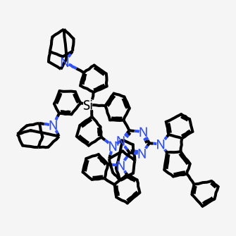 c1ccc(-c2ccc3c(c2)c2ccccc2n3-c2nc(-c3cccc([Si](c4cccc(N5C6CC7CC(C6)CC5C7)c4)(c4cccc(N5C6CC7CC(C6)CC5C7)c4)c4cccc(N5C6CC7CC(C6)CC5C7)c4)c3)nc(-n3c4ccccc4c4ccccc43)n2)cc1